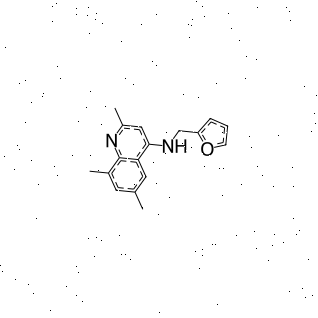 Cc1cc(C)c2nc(C)cc(NCc3ccco3)c2c1